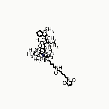 CN[C@H](C(=O)N[C@H](C(=O)N(C)[C@H](/C=C(\C)C(=O)NCCCCNC(=O)CCCCCN1C(=O)C=CC1=O)C(C)C)C(C)(C)C)C(C)(C)c1cn(C)c2ccccc12